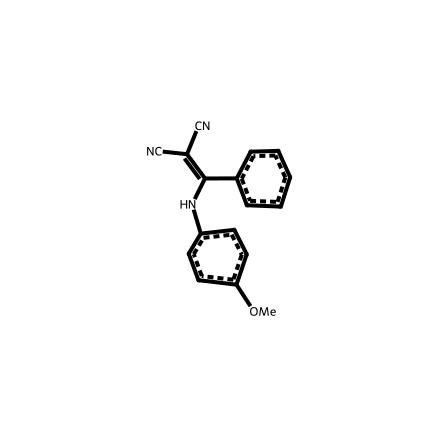 COc1ccc(NC(=C(C#N)C#N)c2ccccc2)cc1